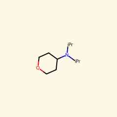 CC(C)N(C(C)C)C1CCOCC1